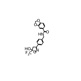 O=C(NCc1ccc(C2=NOC(O)(C(F)(F)F)C2)cc1)c1ccc2c(c1)OCO2